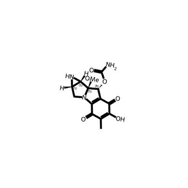 CO[C@@]12[C@H](OC(N)=O)C3=C(C(=O)C(C)=C(O)C3=O)N1C[C@@H]1N[C@@H]12